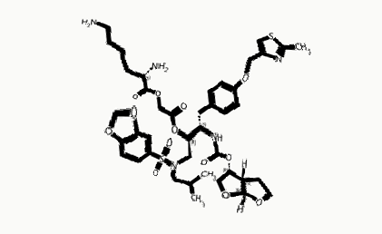 Cc1nc(COc2ccc(C[C@H](NC(=O)O[C@H]3CO[C@H]4OCC[C@H]43)[C@@H](CN(CC(C)C)S(=O)(=O)c3ccc4c(c3)OCO4)OC(=O)COC(=O)[C@@H](N)CCCCN)cc2)cs1